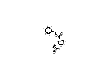 O=C(OCc1ccccc1)N1CC[C@H](C[SH](=O)=O)C1